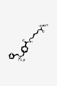 O=C(CCCCCNC(=O)c1ccc(CN(Cc2cccs2)C(=O)O)cc1)NO